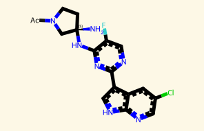 CC(=O)N1CC[C@](N)(Nc2nc(-c3c[nH]c4ncc(Cl)cc34)ncc2F)C1